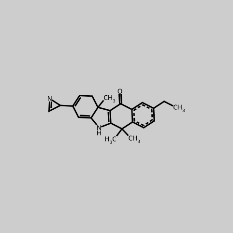 CCc1ccc2c(c1)C(=O)C1=C(NC3=CC(C4C=N4)=CCC31C)C2(C)C